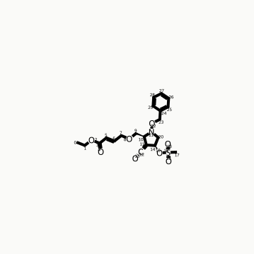 CCOC(=O)C=CCOC[C@@H]1C(=C=O)[C@@H](OS(C)(=O)=O)CN1OCc1ccccc1